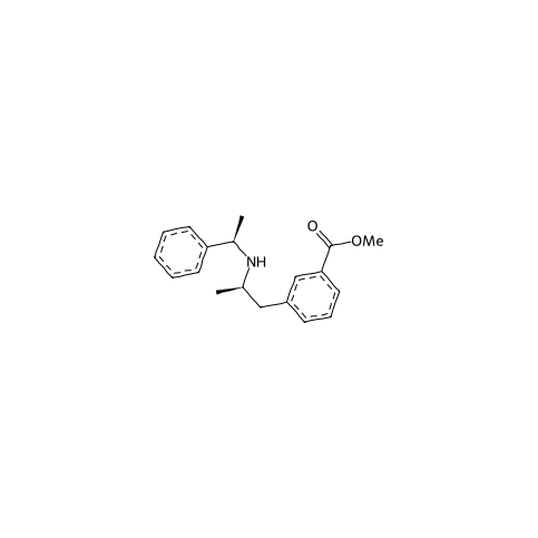 COC(=O)c1cccc(C[C@@H](C)N[C@H](C)c2ccccc2)c1